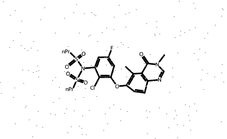 CCCS(=O)(=O)N(c1cc(F)cc(Oc2ccc3ncn(C)c(=O)c3c2C)c1Cl)S(=O)(=O)CCC